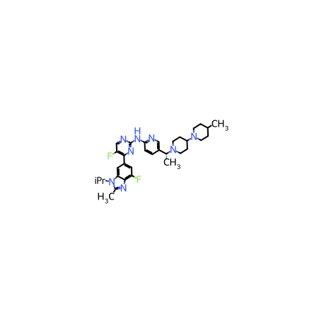 Cc1nc2c(F)cc(-c3nc(Nc4ccc([C@@H](C)N5CCC(N6CCC(C)CC6)CC5)cn4)ncc3F)cc2n1C(C)C